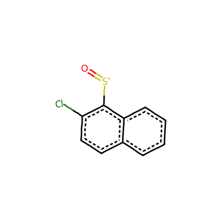 O=[S+]c1c(Cl)ccc2ccccc12